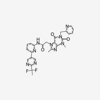 Cc1nc2c(c(=O)n(Cc3ccccn3)c(=O)n2C)n1CC(=O)Nc1cccc(-c2cnc(C(C)(F)F)nc2)n1